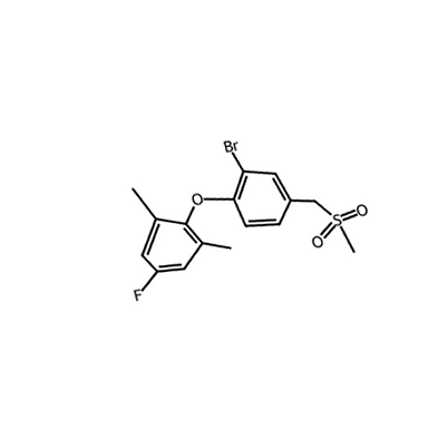 Cc1cc(F)cc(C)c1Oc1ccc(CS(C)(=O)=O)cc1Br